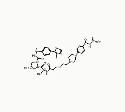 CCCNNC(=O)c1ccc(N2CCN(CCCCCC(=O)N[C@H](C(=O)N3C[C@H](O)C[C@H]3C(=O)N[C@@H](C)c3ccc(-c4scnc4C)cc3)C(C)(C)C)CC2)cc1